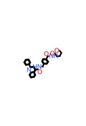 O=C(NOC1CCCCO1)c1ccc(CNC(=O)c2cc(-c3ccccc3)nc3ccccc23)cc1